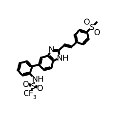 CS(=O)(=O)c1ccc(/C=C/c2nc3cc(-c4ccccc4NS(=O)(=O)C(F)(F)F)ccc3[nH]2)cc1